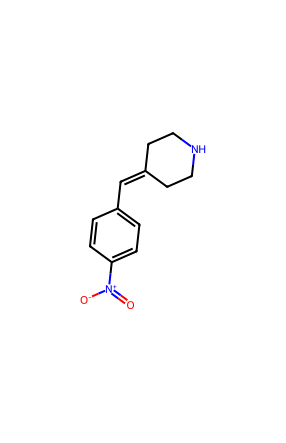 O=[N+]([O-])c1ccc(C=C2CCNCC2)cc1